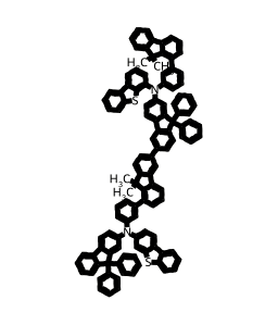 CC1(C)c2ccccc2-c2cccc(-c3cccc(N(c4ccc5c(c4)C(c4ccccc4)(c4ccccc4)c4ccc(-c6ccc7c(c6)-c6cccc(-c8cccc(N(c9ccc%10c(c9)C(c9ccccc9)(c9ccccc9)c9ccccc9-%10)c9ccc%10c(c9)sc9ccccc9%10)c8)c6C7(C)C)cc4-5)c4cccc5c4sc4ccccc45)c3)c21